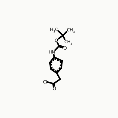 CC(C)(C)OC(=O)Nc1ccc(CC(=O)Cl)cc1